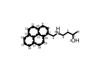 CC(O)CCNCc1ccc2ccc3cccc4ccc1c2c34